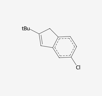 CC(C)(C)C1=Cc2cc(Cl)ccc2C1